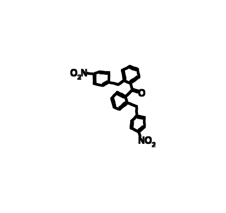 O=C(c1ccccc1Cc1ccc([N+](=O)[O-])cc1)c1ccccc1Cc1ccc([N+](=O)[O-])cc1